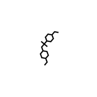 CCC1CCC(CC(C)(C)C2CCC(CC)CC2)CC1